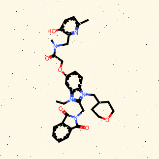 CCn1c(CN2C(=O)c3ccccc3C2=O)[n+](CC2CCOCC2)c2ccc(OCC(=O)N(C)Cc3nc(C)ccc3O)cc21